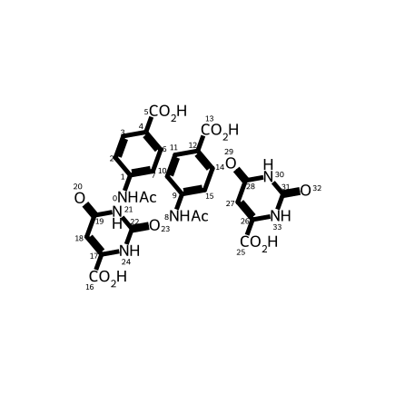 CC(=O)Nc1ccc(C(=O)O)cc1.CC(=O)Nc1ccc(C(=O)O)cc1.O=C(O)c1cc(=O)[nH]c(=O)[nH]1.O=C(O)c1cc(=O)[nH]c(=O)[nH]1